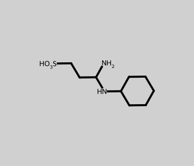 NC(CCS(=O)(=O)O)NC1CCCCC1